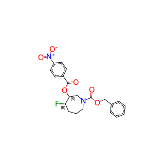 O=C(O[C@H]1CN(C(=O)OCc2ccccc2)CCC[C@H]1F)c1ccc([N+](=O)[O-])cc1